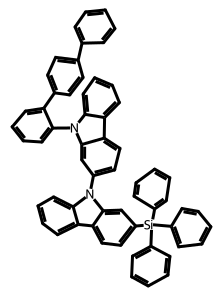 c1ccc(-c2ccc(-c3ccccc3-n3c4ccccc4c4ccc(-n5c6ccccc6c6ccc([Si](c7ccccc7)(c7ccccc7)c7ccccc7)cc65)cc43)cc2)cc1